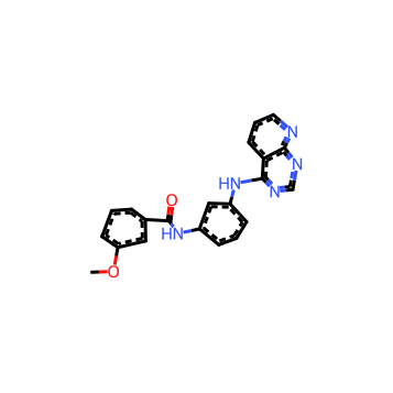 COc1cccc(C(=O)Nc2cccc(Nc3ncnc4ncccc34)c2)c1